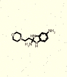 Nc1ccc2c(c1)NC(N)(CCN1CCOCC1)N2